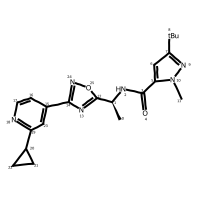 C[C@H](NC(=O)c1cc(C(C)(C)C)nn1C)c1nc(-c2ccnc(C3CC3)c2)no1